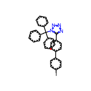 Cc1ccc(-c2ccc(-c3nnnn3C(c3ccccc3)(c3ccccc3)c3ccccc3)cc2)cc1